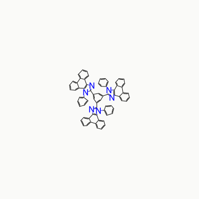 c1ccc(-n2c(-c3cc(-c4nc5c6ccccc6c6ccccc6c5n4-c4ccccc4)cc(-c4nc5c6ccccc6c6ccccc6c5n4-c4ccccc4)c3)nc3c4ccccc4c4ccccc4c32)cc1